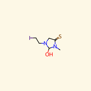 CN1C(=S)CN(CCI)C1O